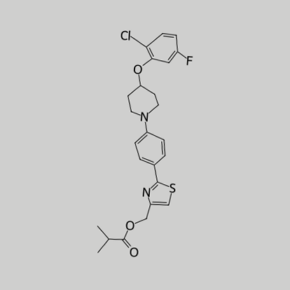 CC(C)C(=O)OCc1csc(-c2ccc(N3CCC(Oc4cc(F)ccc4Cl)CC3)cc2)n1